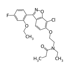 CCOc1cc(F)ccc1-c1noc2c(Cl)c(OCCN(CC)C(=O)CC)ccc12